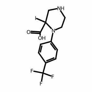 O=C(O)C1(I)CNCCN1c1ccc(C(F)(F)F)cc1